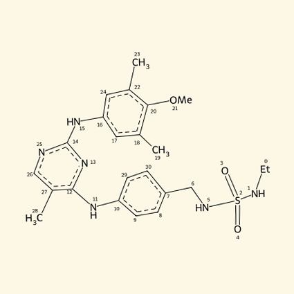 CCNS(=O)(=O)NCc1ccc(Nc2nc(Nc3cc(C)c(OC)c(C)c3)ncc2C)cc1